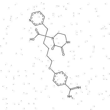 N=C(N)c1ccc(OCCCCC(Cc2cccnc2)(C(=O)O)N2CCNC(=O)C2=O)cc1